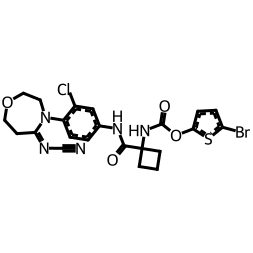 N#CN=C1CCOCCN1c1ccc(NC(=O)C2(NC(=O)Oc3ccc(Br)s3)CCC2)cc1Cl